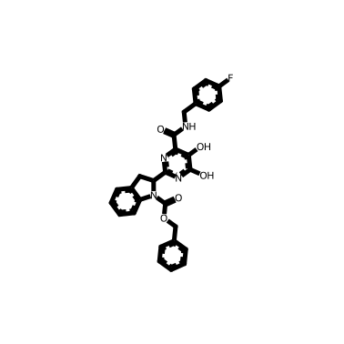 O=C(NCc1ccc(F)cc1)c1nc(C2Cc3ccccc3N2C(=O)OCc2ccccc2)nc(O)c1O